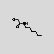 CCCCCCNC(=O)C[O]